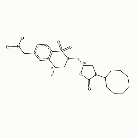 CCN(CC)Cc1ccc2c(c1)[C@@H](C)CN(C[C@@H]1CN(C3CCCCCCC3)C(=O)O1)S2(=O)=O